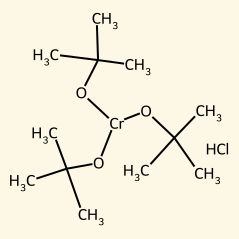 CC(C)(C)[O][Cr]([O]C(C)(C)C)[O]C(C)(C)C.Cl